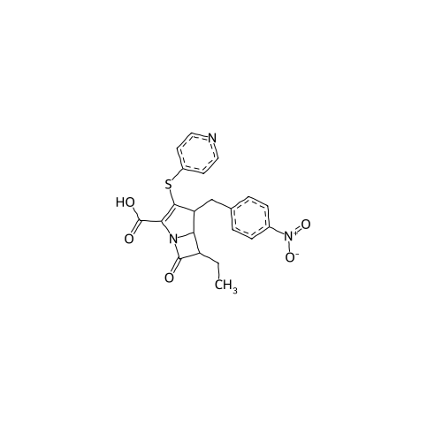 CCC1C(=O)N2C(C(=O)O)=C(Sc3ccncc3)C(Cc3ccc([N+](=O)[O-])cc3)C12